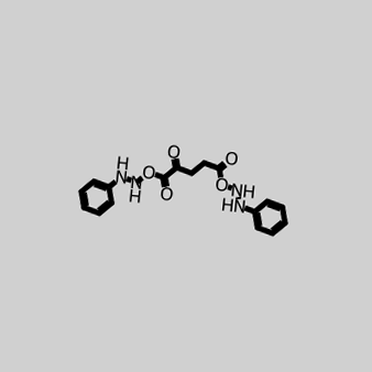 O=C(CCC(=O)C(=O)ONNc1ccccc1)ONNc1ccccc1